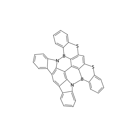 c1ccc2c(c1)Sc1cc3c4c5c1B2n1c2ccccc2c2cc6c7ccccc7n(c6c-5c21)B4c1ccccc1S3